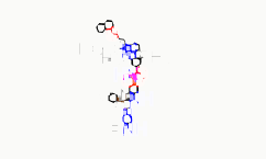 CCNC1CCN(CC[C@H](CSc2ccccc2)Nc2ccc(S(=O)(=O)NC(=O)c3cc(C)c(-c4cccc5c(CCCOc6cccc7ccccc67)c(C(=O)O)nn45)c(C)c3)cc2[N+](=O)[O-])CC1